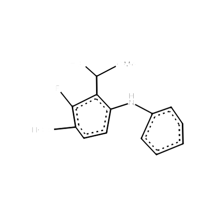 COC(C)c1c(Nc2ccccc2)ccc(C(=O)O)c1F